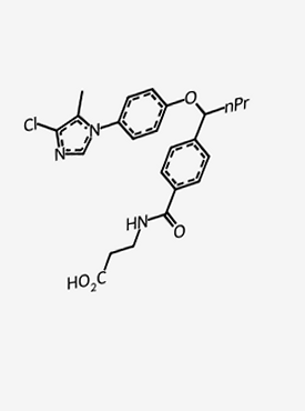 CCCC(Oc1ccc(-n2cnc(Cl)c2C)cc1)c1ccc(C(=O)NCCC(=O)O)cc1